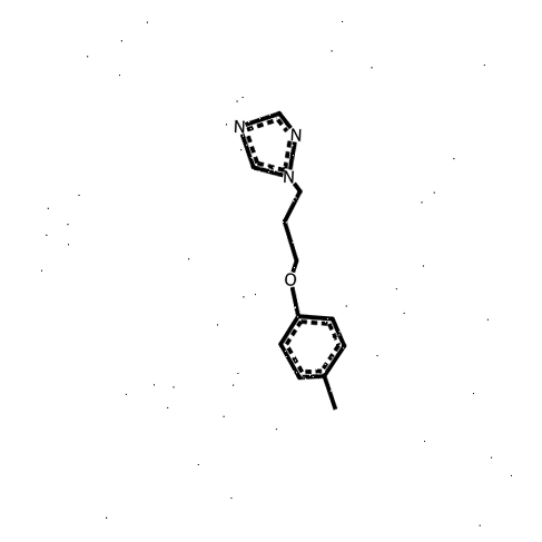 Cc1ccc(OCCCn2cncn2)cc1